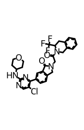 O=C1c2cc(-c3nc(NC4CCOCC4)ncc3Cl)ccc2CN1CC(=O)N1Cc2ccccc2CC1C(F)(F)F